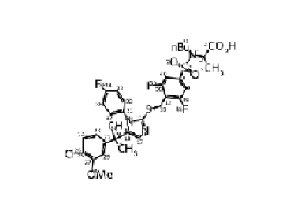 CCCCN([C@H](C)C(=O)O)S(=O)(=O)c1cc(F)c(CSc2ncc(C(C)(C)c3ccc(Cl)c(OC)c3)n2-c2ccc(F)cc2)c(F)c1